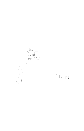 [N-]=[N+]=NCCCCCCCCCCO[C@@H]1S[C@@H](CCCCC(=O)OCc2ccccc2)[C@H]2NC(=O)N[C@H]21